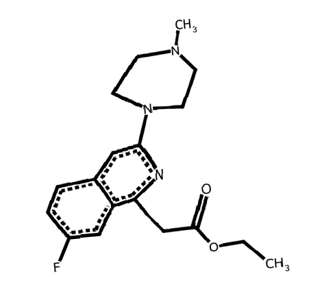 CCOC(=O)Cc1nc(N2CCN(C)CC2)cc2ccc(F)cc12